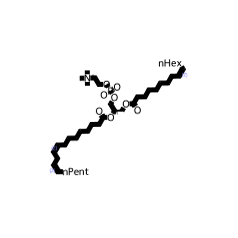 CCCCC/C=C\C/C=C\CCCCCCCC(=O)O[C@H](COC(=O)CCCCCCC/C=C\CCCCCC)COP(=O)([O-])OCC[N+](C)(C)C